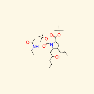 CC=C[C@@H]1C[C@H](C(=O)OC(C)(C)C)N(C(=O)OC(C)(C)C)[C@@H]1CC(O)CCC.CCNC(C)=O